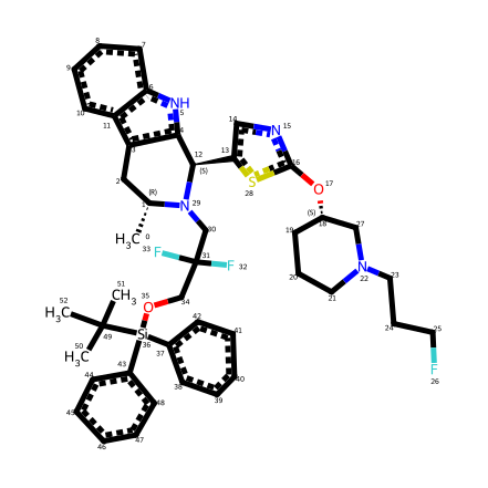 C[C@@H]1Cc2c([nH]c3ccccc23)[C@@H](c2cnc(O[C@H]3CCCN(CCCF)C3)s2)N1CC(F)(F)CO[Si](c1ccccc1)(c1ccccc1)C(C)(C)C